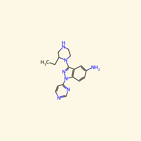 CCC1CNCCN1c1nn(-c2ccncn2)c2ccc(N)cc12